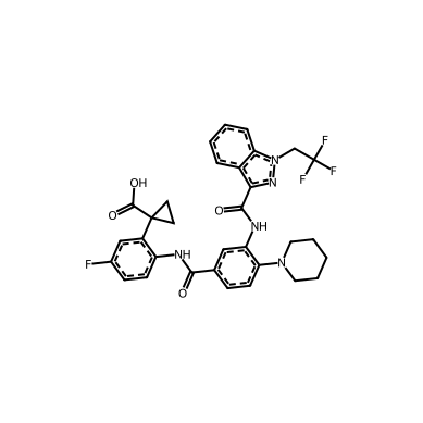 O=C(Nc1ccc(F)cc1C1(C(=O)O)CC1)c1ccc(N2CCCCC2)c(NC(=O)c2nn(CC(F)(F)F)c3ccccc23)c1